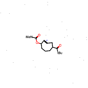 CNC(=O)OC1/C=C/CC(C(=O)C(C)(C)C)CCC1